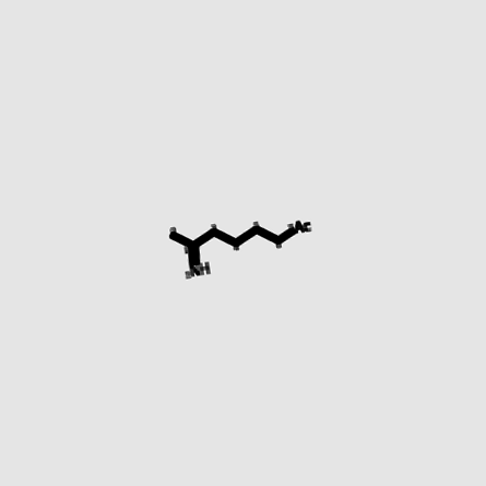 CC(=N)CCCCC(C)=O